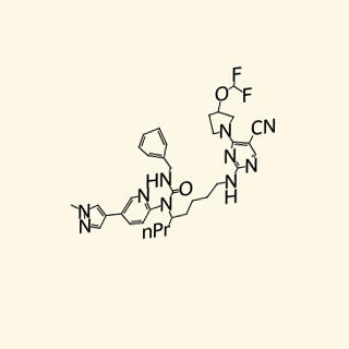 CCCC(CCCCNc1ncc(C#N)c(N2CCC(OC(F)F)C2)n1)N(C(=O)NCc1ccccc1)c1ccc(-c2cnn(C)c2)cn1